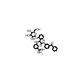 N=C(N)c1cccc(NC(C(=O)Nc2cccc(C(=O)c3ccccc3)c2)c2ccccc2OC2OC(CO)C(O)C(O)C2O)c1